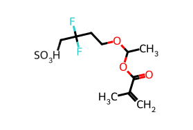 C=C(C)C(=O)OC(C)OCCC(F)(F)CS(=O)(=O)O